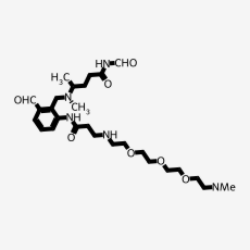 CNCCOCCOCCOCCNCCC(=O)Nc1cccc(C=O)c1CN(C)C(C)CCC(=O)NC=O